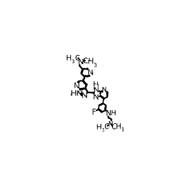 CN(C)CCNc1cc(F)cc(-c2ccnc3[nH]c(-c4n[nH]c5ncc(-c6cncc(CN(C)C)c6)cc45)nc23)c1